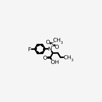 CCCC(C(=O)O)N(c1ccc(F)cc1)S(C)(=O)=O